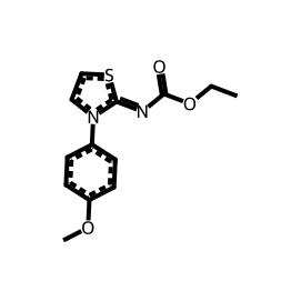 CCOC(=O)N=c1sccn1-c1ccc(OC)cc1